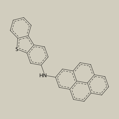 c1cc2ccc3cc(Nc4ccc5c(c4)sc4ccccc45)cc4ccc(c1)c2c34